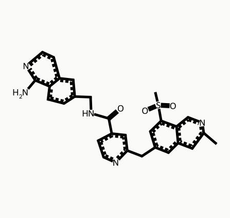 Cc1cc2cc(Cc3cc(C(=O)NCc4ccc5c(N)nccc5c4)ccn3)cc(S(C)(=O)=O)c2cn1